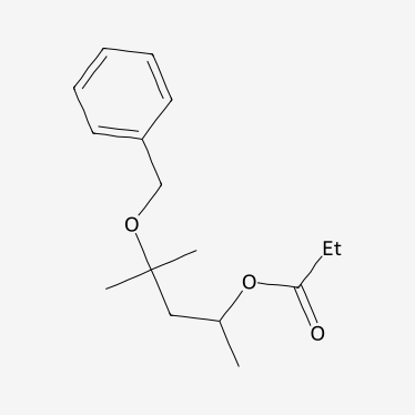 CCC(=O)OC(C)CC(C)(C)OCc1ccccc1